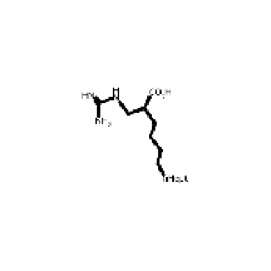 CCCCCCCCCCCC(CNC(=N)N)C(=O)O